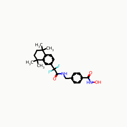 CC1(C)CCC(C)(C)c2cc(C(F)(F)C(=O)NCc3ccc(C(=O)NO)cc3)ccc21